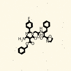 Nc1nc(-c2ccc(F)cc2)n(CC(=O)NC(=Cc2ccccc2)C(O)C2=NCCO2)c(=O)c1C(=O)OCc1ccccc1